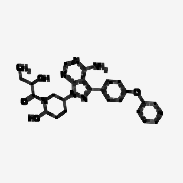 CCC(O)C(=O)N1CC(n2nc(-c3ccc(Oc4ccccc4)cc3)c3c(N)ncnc32)CCC1O